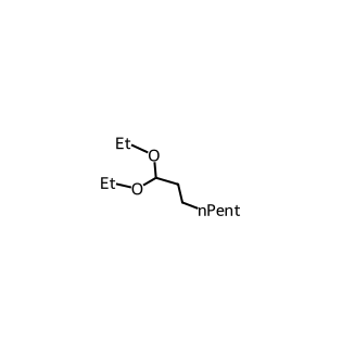 CCCCCCCC(OCC)OCC